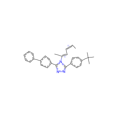 C/C=C\C=C(/C)n1c(-c2ccc(-c3ccccc3)cc2)nnc1-c1ccc(C(C)(C)C)cc1